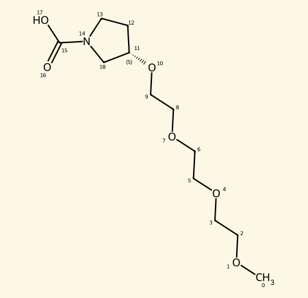 COCCOCCOCCO[C@H]1CCN(C(=O)O)C1